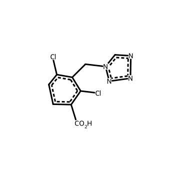 O=C(O)c1ccc(Cl)c(Cn2cnnn2)c1Cl